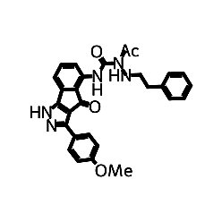 COc1ccc(-c2n[nH]c3c2C(=O)c2c(NC(=O)N(NCCc4ccccc4)C(C)=O)cccc2-3)cc1